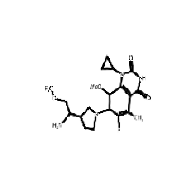 COC1c2c(c(=O)[nH]c(=O)n2C2CC2)C(C)=C(F)C1N1CCC(C(N)COC(F)(F)F)C1